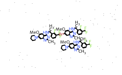 COc1cc2c(N[C@H](C)c3cccc(C(F)F)c3F)nc(C)nc2cc1Br.COc1cc2c(N[C@H](C)c3cccc(C(F)F)c3F)nc(C)nc2cc1N1CCCCC1.COc1cc2c(N[C@H](C)c3cccc(C(F)F)c3F)nc(C)nc2cc1N1CCCCC1